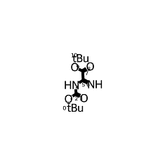 CC(C)(C)OC(=O)NC(=N)C(=O)OC(C)(C)C